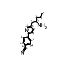 CCCC(N)Cc1ccc(-c2ccc(C#N)cc2)nc1